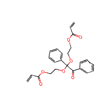 C=CC(=O)OCCOC(OCCOC(=O)C=C)(C(=O)c1ccccc1)c1ccccc1